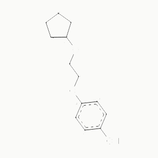 Oc1ccc(OCCOC2CCCC2)cc1